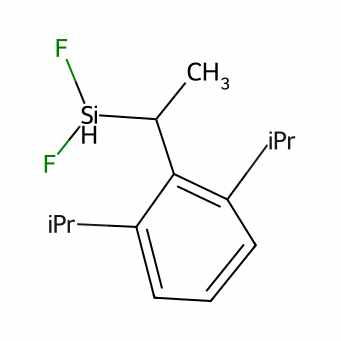 CC(C)c1cccc(C(C)C)c1C(C)[SiH](F)F